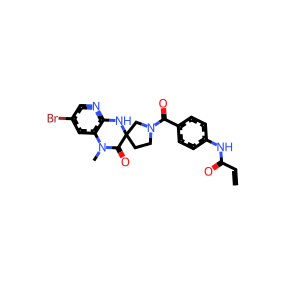 C=CC(=O)Nc1ccc(C(=O)N2CCC3(C2)Nc2ncc(Br)cc2N(C)C3=O)cc1